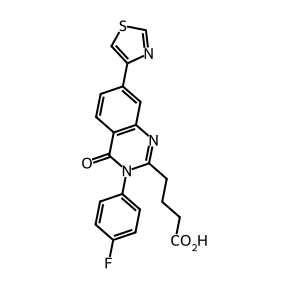 O=C(O)CCCc1nc2cc(-c3cscn3)ccc2c(=O)n1-c1ccc(F)cc1